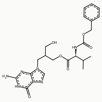 CC(C)[C@H](NC(=O)OCc1ccccc1)C(=O)OCC(CO)Cn1cnc2c(=O)[nH]c(N)nc21